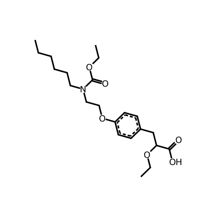 CCCCCCN(CCOc1ccc(CC(OCC)C(=O)O)cc1)C(=O)OCC